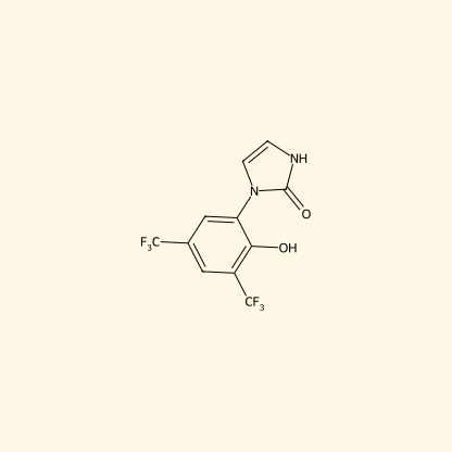 O=c1[nH]ccn1-c1cc(C(F)(F)F)cc(C(F)(F)F)c1O